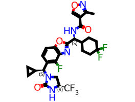 Cc1nocc1C(=O)N[C@H](c1nc2c(F)c([C@H](C3CC3)N3C[C@H](C(F)(F)F)NC3=O)ccc2o1)C1CCC(F)(F)CC1